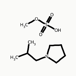 CC(C)CN1CCCC1.COS(=O)(=O)O